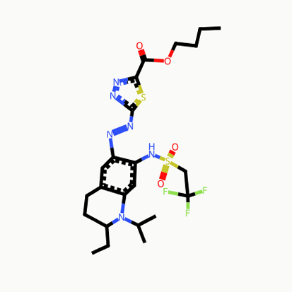 CCCCOC(=O)c1nnc(N=Nc2cc3c(cc2NS(=O)(=O)CC(F)(F)F)N(C(C)C)C(CC)CC3)s1